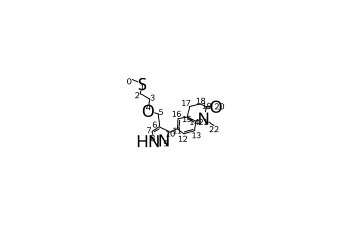 CSCCOCc1c[nH]nc1-c1ccc2c(c1)CCC(=O)N2C